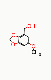 COc1cc(CO)c2c(c1)OCO2